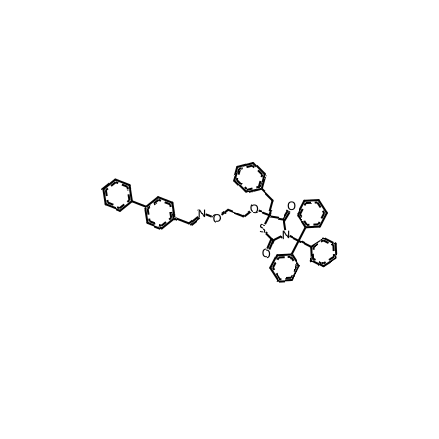 O=C1SC(Cc2ccccc2)(OCCON=Cc2ccc(-c3ccccc3)cc2)C(=O)N1C(c1ccccc1)(c1ccccc1)c1ccccc1